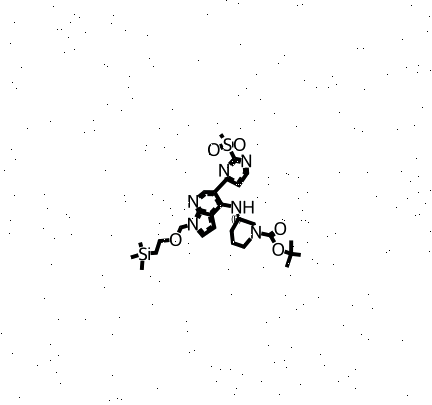 CC(C)(C)OC(=O)N1CCC[C@@H](Nc2c(-c3ccnc(S(C)(=O)=O)n3)cnc3c2ccn3COCC[Si](C)(C)C)C1